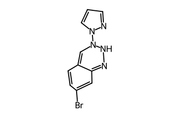 Brc1ccc2c(c1)=NNN(n1cccn1)C=2